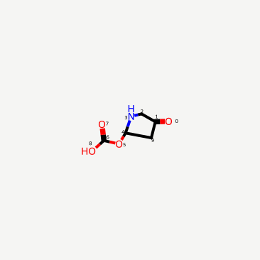 O=C1CNC(OC(=O)O)C1